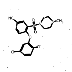 CN1CCN(S(=O)(=O)c2cc(C#N)ccc2Oc2cc(Cl)ccc2Cl)CC1